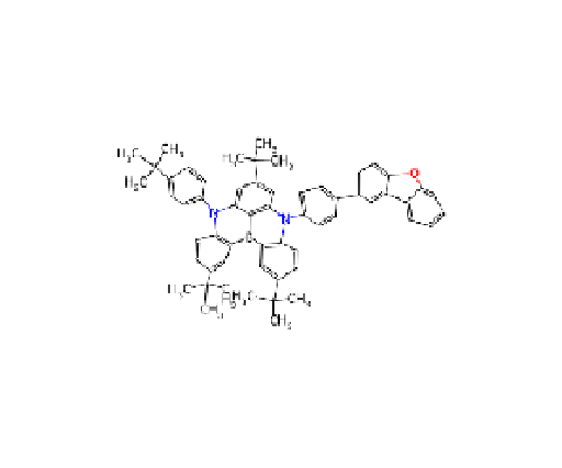 CC(C)(C)c1ccc(N2c3ccc(C(C)(C)C)cc3B3c4cc(C(C)(C)C)ccc4N(c4ccc(-c5ccc6oc7ccccc7c6c5)cc4)c4cc(C(C)(C)C)cc2c43)cc1